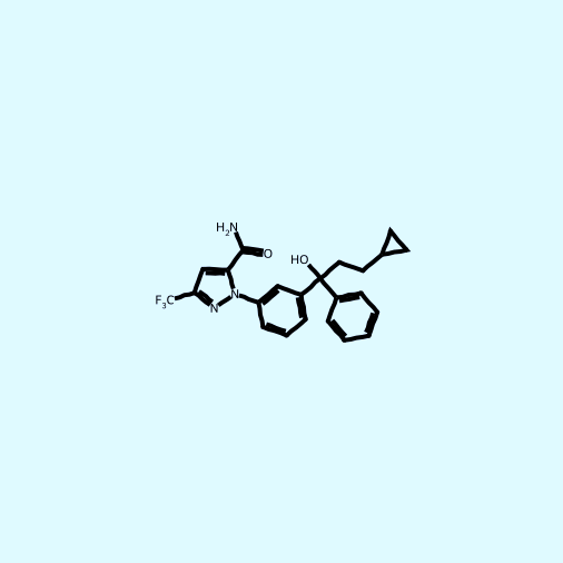 NC(=O)c1cc(C(F)(F)F)nn1-c1cccc(C(O)(CCC2CC2)c2ccccc2)c1